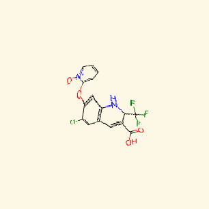 O=C(O)C1=Cc2cc(Cl)c(Oc3cccc[n+]3[O-])cc2NC1C(F)(F)F